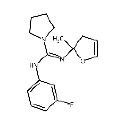 CC1(N=C(Nc2cccc(F)c2)N2CCCC2)CC=CO1